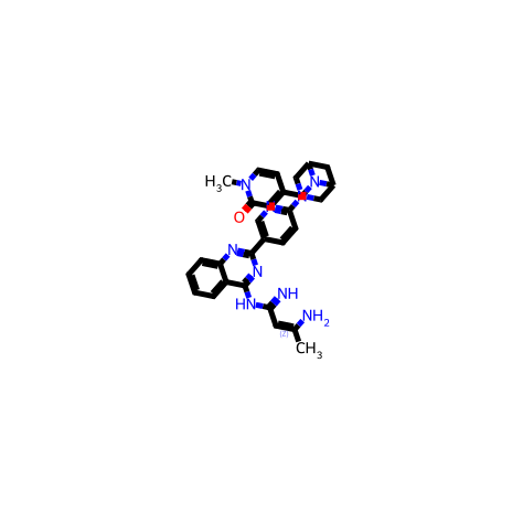 C/C(N)=C/C(=N)Nc1nc(-c2ccc(N3CC4CC(C3)N4Cc3ccn(C)c(=O)c3)nc2)nc2ccccc12